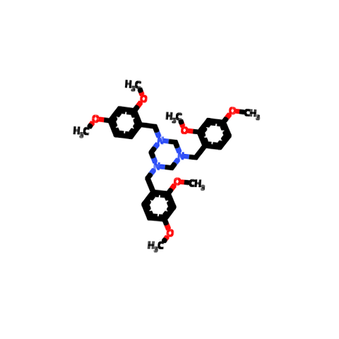 COc1ccc(CN2CN(Cc3ccc(OC)cc3OC)CN(Cc3ccc(OC)cc3OC)C2)c(OC)c1